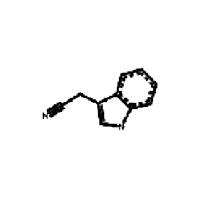 N#CCC1=C[N]c2ccccc21